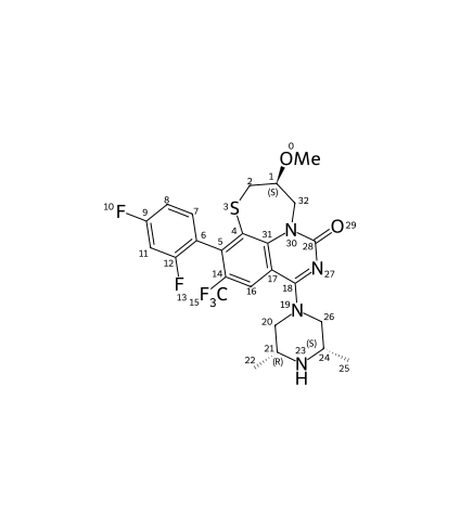 CO[C@@H]1CSc2c(-c3ccc(F)cc3F)c(C(F)(F)F)cc3c(N4C[C@@H](C)N[C@@H](C)C4)nc(=O)n(c23)C1